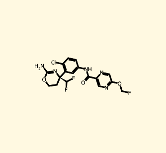 NC1=N[C@@](c2cc(NC(=O)c3cnc(OCF)cn3)ccc2Cl)(C(F)F)CCO1